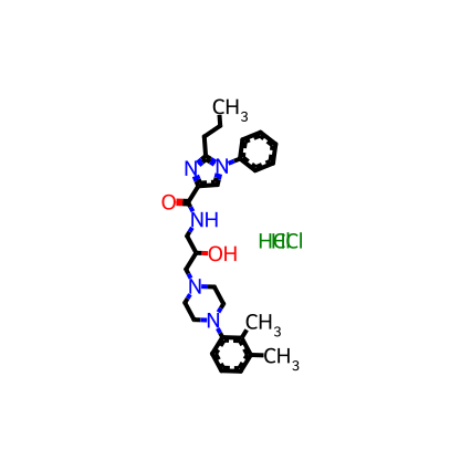 CCCc1nc(C(=O)NCC(O)CN2CCN(c3cccc(C)c3C)CC2)cn1-c1ccccc1.Cl.Cl